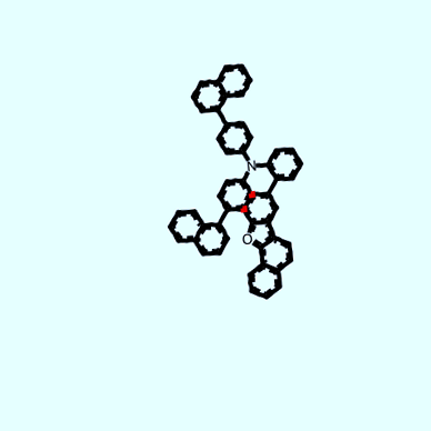 c1ccc(N(c2ccc(-c3cccc4ccccc34)cc2)c2ccc(-c3cccc4ccccc34)cc2)c(-c2ccc3oc4c5ccccc5ccc4c3c2)c1